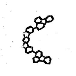 c1ccc2c(c1)-c1cccc3c(-c4ccc5oc6cc7oc8ccc(-c9ccc%10c%11c(cccc9%11)-c9ccccc9-%10)cc8c7cc6c5c4)ccc-2c13